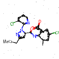 COCc1cc(-c2nc3c(C)cc(Cl)cc3c(=O)o2)n(-c2ncccc2Cl)n1